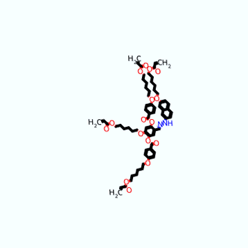 C=CC(=O)OCCCCCCOc1ccc(C(=O)Oc2cc(OCCCCCCOC(=O)C=C)c(OC(=O)c3ccc(OCCCCCCOC(=O)C=C)cc3)cc2/C=N/Nc2ccc3ccc(OCCCCCCOC(=O)C=C)cc3c2)cc1